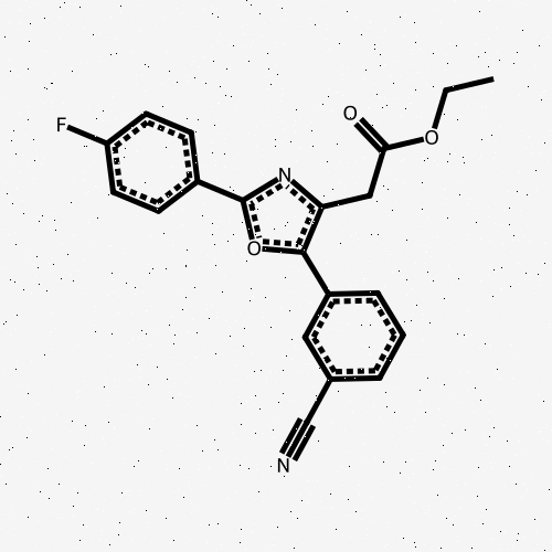 CCOC(=O)Cc1nc(-c2ccc(F)cc2)oc1-c1cccc(C#N)c1